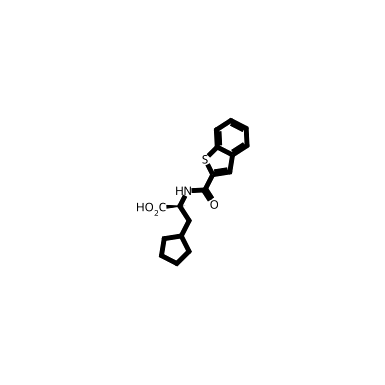 O=C(N[C@@H](CC1CCCC1)C(=O)O)c1cc2ccccc2s1